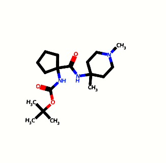 CN1CCC(C)(NC(=O)C2(NC(=O)OC(C)(C)C)CCCC2)CC1